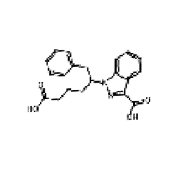 O=C(O)CCCC(Cc1ccccc1)n1nc(C(=O)O)c2ccccc21